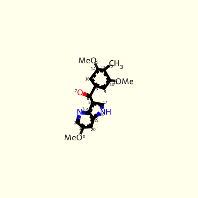 COc1cnc2c(C(=O)c3cc(OC)c(C)c(OC)c3)c[nH]c2c1